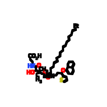 CCC=CCC=CCC=CCC=CCC=CCCCC(=O)OCC(C)(C)C(O)C(=O)NCCC(=O)O.CNCCC(Oc1cccc2ccccc12)c1cccs1